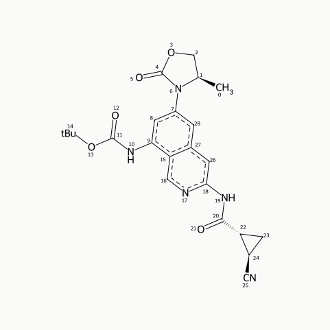 C[C@@H]1COC(=O)N1c1cc(NC(=O)OC(C)(C)C)c2cnc(NC(=O)[C@@H]3C[C@H]3C#N)cc2c1